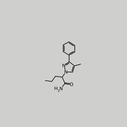 CCCC(C(N)=O)n1cc(C)c(-c2ccccc2)n1